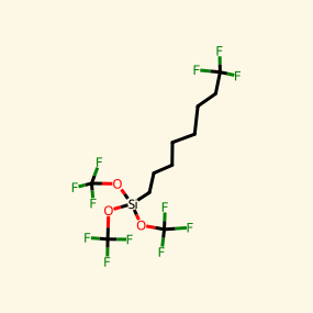 FC(F)(F)CCCCCCC[Si](OC(F)(F)F)(OC(F)(F)F)OC(F)(F)F